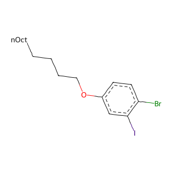 CCCCCCCCCCCCOc1ccc(Br)c(I)c1